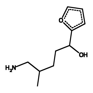 CC(CN)CCC(O)c1ccco1